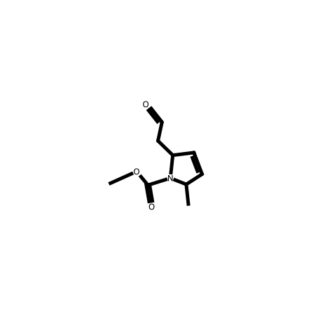 COC(=O)N1C(C)C=CC1CC=O